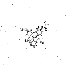 C=C(C)C(=O)Nc1ccc(-c2c(-c3ccc(C=O)cc3)c3c(N)ncnn3c2CO)cc1